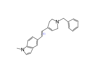 Cn1ccc2cc(/C=C/C3=CCN(Cc4ccccc4)CC3)ccc21